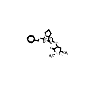 COC(=O)C(CC(C)C)NCC[C@@]1(C(=O)O)CCCN1C(=O)OCc1ccccc1